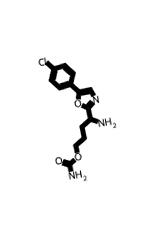 NC(=O)OCCCC(N)c1ncc(-c2ccc(Cl)cc2)o1